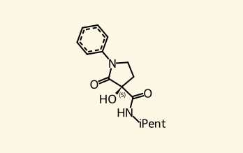 CCCC(C)NC(=O)[C@@]1(O)CCN(c2ccccc2)C1=O